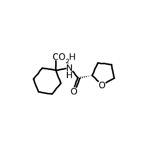 O=C(NC1(C(=O)O)CCCCC1)[C@@H]1CCCO1